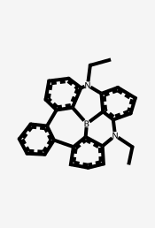 CCN1c2cccc3c2B2c4c(cccc4N(CC)c4cccc1c42)-c1ccccc1-3